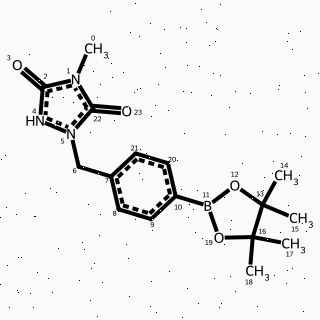 Cn1c(=O)[nH]n(Cc2ccc(B3OC(C)(C)C(C)(C)O3)cc2)c1=O